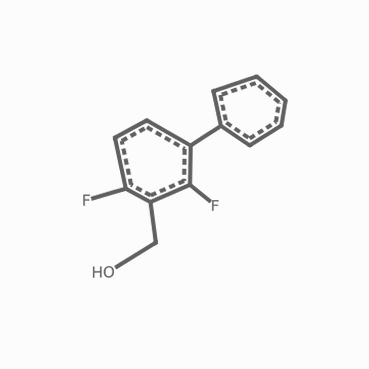 OCc1c(F)ccc(-c2ccccc2)c1F